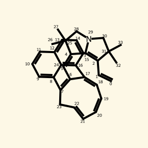 C=CC1=C2/C(=C\c3c4c5cccc6cccc(/c3=C/C=C\C=C\C4)c65)C(C)(C)CN2CC1(C)C